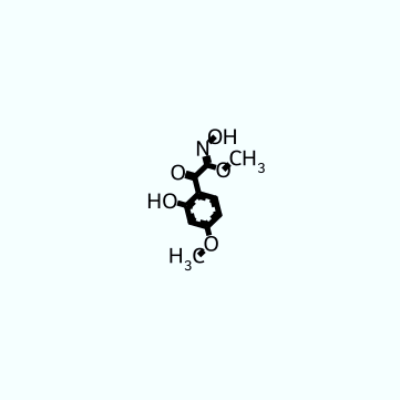 COC(=NO)C(=O)c1ccc(OC)cc1O